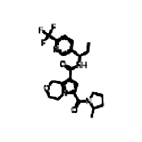 CCC(NC(=O)c1cc(C(=O)N2CCCC2C)n2c1COCC2)c1ccc(C(F)(F)F)nc1